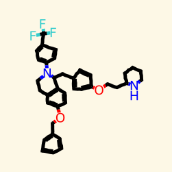 FC(F)(F)c1ccc(N2CCc3cc(OCc4ccccc4)ccc3C2Cc2ccc(OCCC3CCCCN3)cc2)cc1